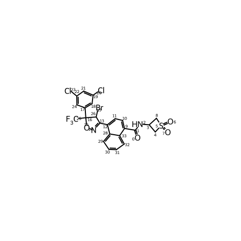 O=C(NC1CS(=O)(=O)C1)c1ccc(C2=NOC(c3cc(Cl)cc(Cl)c3)(C(F)(F)F)C2Br)c2ccccc12